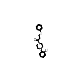 O=C(CCOc1ccccc1)N1CCN(c2ccccc2Cl)CC1